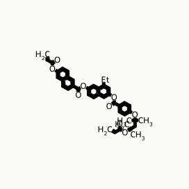 C=CC(=O)Oc1ccc2cc(C(=O)Oc3ccc4cc(OC(=O)c5ccc(OC(C)(C)CC(C)(C)OC(=O)C=C)cc5)cc(CC)c4c3)ccc2c1